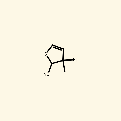 CCC1(C)C=CSC1C#N